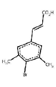 Cc1cc(C=CC(=O)O)cc(C)c1Br